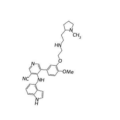 COc1ccc(-c2cncc(C#N)c2Nc2cccc3[nH]ccc23)cc1OCCNCCC1CCCN1C